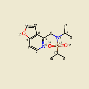 CC(C)N(Cc1nccc2occc12)S(=O)(=O)C(C)C